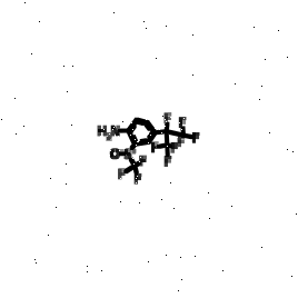 Nc1ccc(C(F)(C(F)(F)F)C(F)(F)F)cc1[S+]([O-])C(F)(F)F